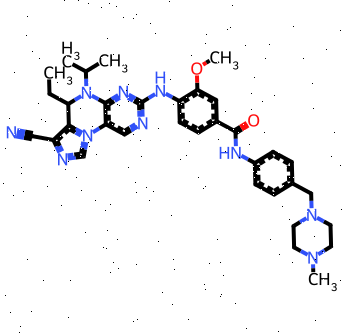 CCC1c2c(C#N)ncn2-c2cnc(Nc3ccc(C(=O)Nc4ccc(CN5CCN(C)CC5)cc4)cc3OC)nc2N1C(C)C